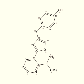 COC(N)c1ncccc1-c1cc(Cc2ccc(O)cc2)no1